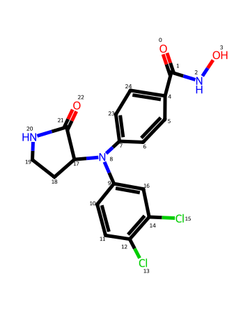 O=C(NO)c1ccc(N(c2ccc(Cl)c(Cl)c2)C2CCNC2=O)cc1